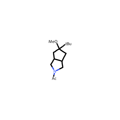 COC1(C(C)(C)C)CC2CN(C(C)=O)CC2C1